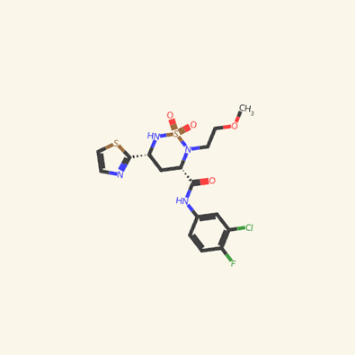 COCCN1[C@H](C(=O)Nc2ccc(F)c(Cl)c2)C[C@H](c2nccs2)NS1(=O)=O